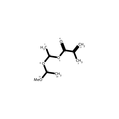 C=C(C)C(=O)OC(C)OC(C)OC